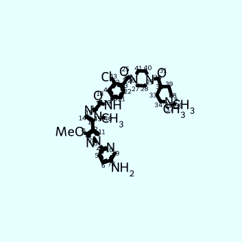 COc1nn(-c2ccc(N)cn2)cc1-c1cnc(C(=O)Nc2ccc(C(=O)N3CCN(C(=O)C4CC[N+](C)(C)CC4)CC3)c(Cl)c2)n1C